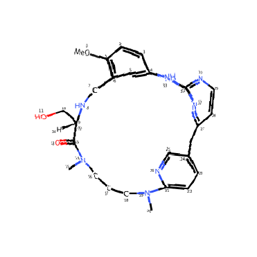 COc1ccc2cc1CN[C@@H](CO)C(=O)N(C)CCCN(C)c1ccc(cn1)-c1ccnc(n1)N2